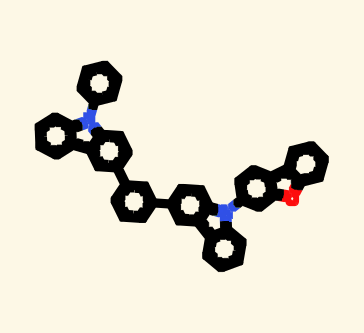 c1ccc(-n2c3ccccc3c3cc(-c4cccc(-c5ccc6c(c5)c5ccccc5n6-c5ccc6c(c5)oc5ccccc56)c4)ccc32)cc1